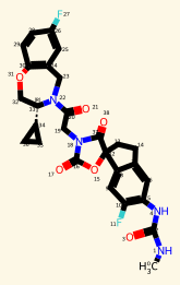 CNC(=O)Nc1cc2c(cc1F)C1(CC2)OC(=O)N(CC(=O)N2Cc3cc(F)ccc3OC[C@H]2C2CC2)C1=O